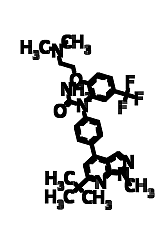 CN(C)CCOc1ccc(C(F)(F)F)cc1N(C(N)=O)c1ccc(-c2cc(C(C)(C)C)nc3c2cnn3C)cc1